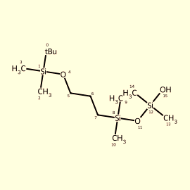 CC(C)(C)[Si](C)(C)OCCC[Si](C)(C)O[Si](C)(C)O